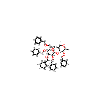 CC(=O)OC1[C@H](C)OC(C)[C@H](OCc2ccccc2)[C@@H]1OC1O[C@@H](COCc2ccccc2)[C@@H](OCc2ccccc2)C(OCc2ccccc2)C1OCc1ccccc1